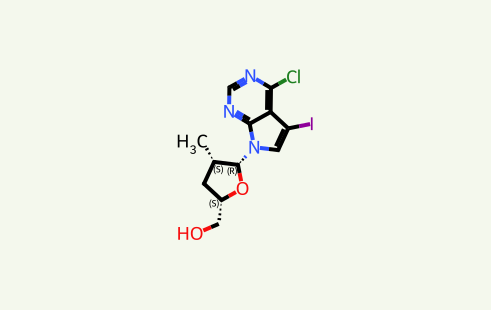 C[C@H]1C[C@@H](CO)O[C@H]1n1cc(I)c2c(Cl)ncnc21